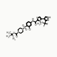 Cn1c(-c2c[nH]nc2C(F)(F)F)cnc1C(=O)Nc1ccc(S(=O)(=O)N2CCN(C(=O)OC(C)(C)C)CC2)c(Cl)c1